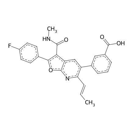 CC=Cc1nc2oc(-c3ccc(F)cc3)c(C(=O)NC)c2cc1-c1cccc(C(=O)O)c1